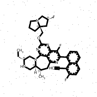 C#Cc1c(F)ccc2cccc(-c3nc4c5c(nc(OC[C@@]67CCCN6C[C@H](F)C7)nc5c3F)N3C[C@@H](CC)NC[C@@H]3[C@@H](C)C4)c12